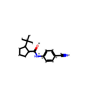 CC(C)(C)C1CCCC1C(=O)Nc1ccc(C#N)cc1